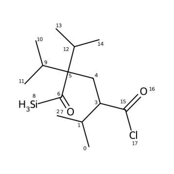 CC(C)C(CC(C(=O)[SiH3])(C(C)C)C(C)C)C(=O)Cl